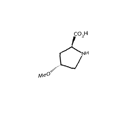 CO[C@H]1CN[C@H](C(=O)O)C1